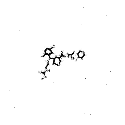 COC(=O)NCCO[C@@H](c1cc(Cl)ccc1C)C1CNCC(C(=O)NC[C@H](N)C[C@H]2CCCOC2)C1